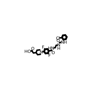 O=C(O)CC1CCN(c2cc(F)c(C(=O)NCCNC(=O)Nc3ccccc3Cl)cc2F)CC1